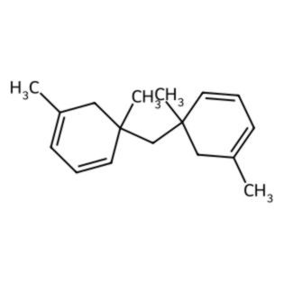 CC1=CC=CC(C)(CC2(C)C=CC=C(C)C2)C1